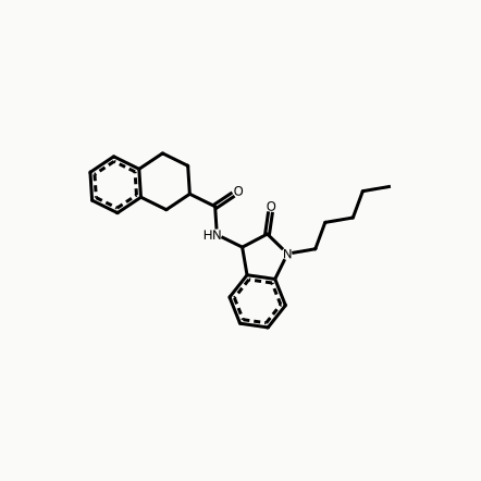 CCCCCN1C(=O)C(NC(=O)C2CCc3ccccc3C2)c2ccccc21